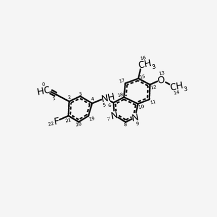 C#Cc1cc(Nc2ncnc3cc(OC)c(C)cc23)ccc1F